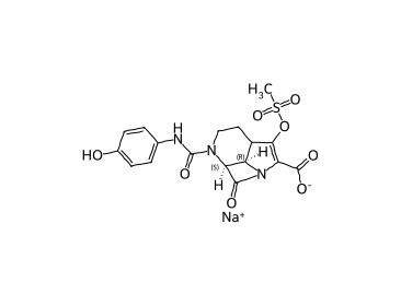 CS(=O)(=O)OC1=C(C(=O)[O-])N2C(=O)[C@@H]3[C@H]2C1CCN3C(=O)Nc1ccc(O)cc1.[Na+]